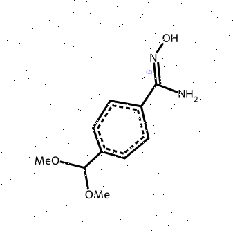 COC(OC)c1ccc(/C(N)=N/O)cc1